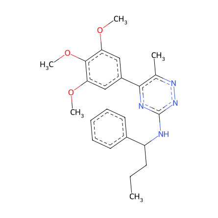 CCCC(Nc1nnc(C)c(-c2cc(OC)c(OC)c(OC)c2)n1)c1ccccc1